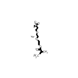 C=C(C)C(=O)OCCOCCOCCS(=O)(=O)[O-].[Na+]